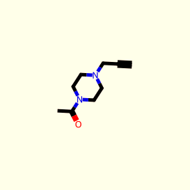 C#CCN1CCN(C(C)=O)CC1